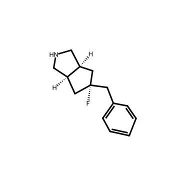 F[C@]1(Cc2ccccc2)C[C@H]2CNC[C@H]2C1